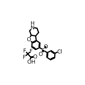 O=C(O)C(F)(F)F.O=S(=O)(c1cccc(Cl)c1)c1ccc2c(c1)C1CCNCC1O2